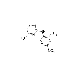 Cc1cc([N+](=O)[O-])ccc1Nc1nccc(C(F)(F)F)n1